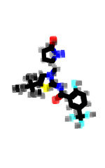 CC(C)(C)c1cn(C[C@@H]2CCC(=O)N2)/c(=N/C(=O)c2cc(C(F)(F)F)ccc2F)s1